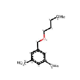 COCCCOCc1cc(OC)cc(C(=O)O)c1